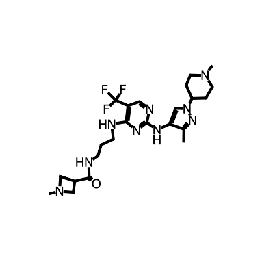 Cc1nn(C2CCN(C)CC2)cc1Nc1ncc(C(F)(F)F)c(NCCCNC(=O)C2CN(C)C2)n1